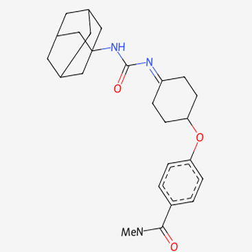 CNC(=O)c1ccc(OC2CCC(=NC(=O)NC34CC5CC(CC(C5)C3)C4)CC2)cc1